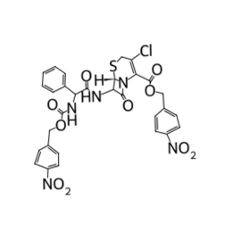 O=C(NC(C(=O)NC1C(=O)N2C(C(=O)OCc3ccc([N+](=O)[O-])cc3)=C(Cl)CS[C@@H]12)c1ccccc1)OCc1ccc([N+](=O)[O-])cc1